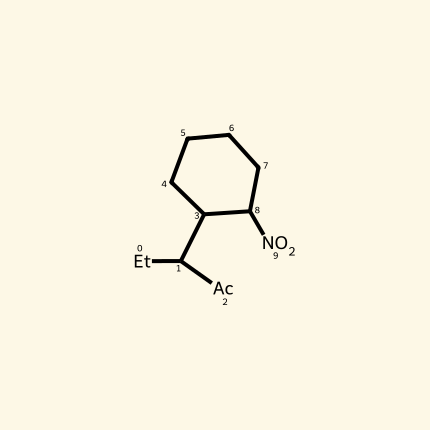 CCC(C(C)=O)C1CCCCC1[N+](=O)[O-]